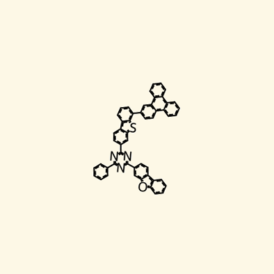 c1ccc(-c2nc(-c3ccc4c(c3)oc3ccccc34)nc(-c3ccc4c(c3)sc3c(-c5ccc6c7ccccc7c7ccccc7c6c5)cccc34)n2)cc1